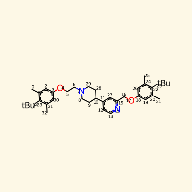 Cc1cc(OCCN2CCC(c3ccnc(COc4cc(C)c(C(C)(C)C)c(C)c4)c3)CC2)cc(C)c1C(C)(C)C